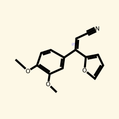 COc1ccc(/C(=C/C#N)c2ccco2)cc1OC